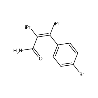 CC(C)C(C(N)=O)=C(c1ccc(Br)cc1)C(C)C